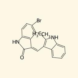 Cc1[nH]c2ccccc2c1C=C1C(=O)Nc2ccc(Br)c(C)c21